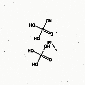 CC(C)C.O=P(O)(O)O.O=P(O)(O)O